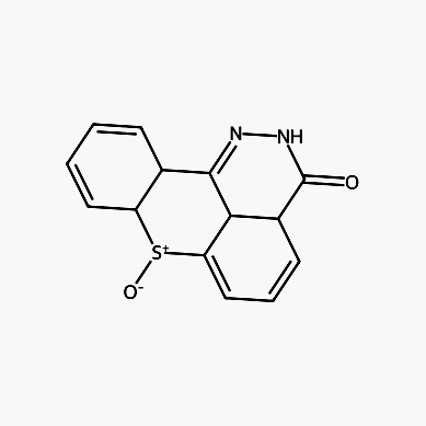 O=C1NN=C2C3C=CC=CC3[S+]([O-])C3=CC=CC1C32